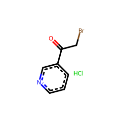 Cl.O=C(CBr)c1cccnc1